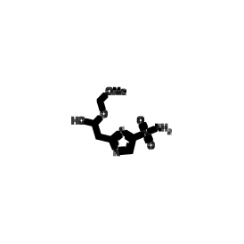 COCOC(O)Cc1ncc(S(N)(=O)=O)s1